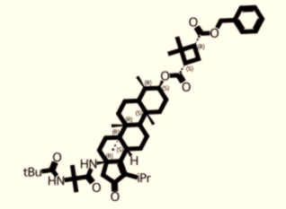 CC(C)C1=C2[C@H]3CCC4[C@@]5(C)CC[C@H](OC(=O)[C@H]6C[C@@H](C(=O)OCc7ccccc7)C6(C)C)[C@H](C)C5CC[C@@]4(C)[C@]3(C)CC[C@@]2(NC(=O)C(C)(C)NC(=O)C(C)(C)C)CC1=O